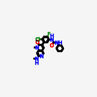 CNc1cc2c(cn1)cc(-c1cc(NC(=O)NC3CCCCC3)c(F)cc1Cl)c(=O)n2C